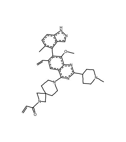 C=CC(=O)N1CC2(CCN(c3nc(C4CCN(C)CC4)nc4c(OC)c(-c5c(C)ccc6[nH]ncc56)c(C=C)cc34)CC2)C1